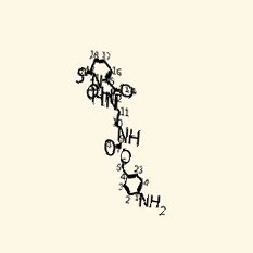 Nc1ccc(COC(=O)NCCNC(=O)c2cccc(=S)n2O)cc1